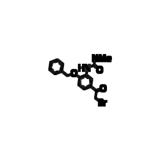 CNC(=O)Nc1cc(C(=O)CBr)ccc1OCc1ccccc1